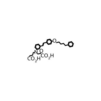 O=C(O)CCCN1CC(C(=O)O)Oc2c(C=Cc3ccc(OCCCCCc4ccccc4)cc3)cccc21